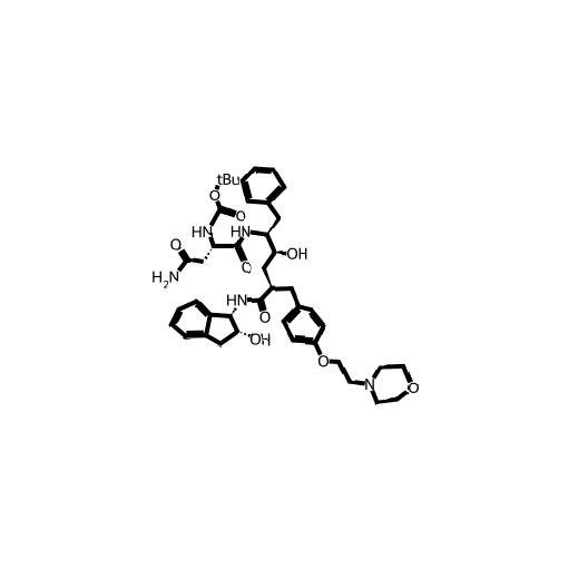 CC(C)(C)OC(=O)N[C@@H](CC(N)=O)C(=O)N[C@@H](Cc1ccccc1)[C@@H](O)C[C@@H](Cc1ccc(OCCN2CCOCC2)cc1)C(=O)N[C@H]1c2ccccc2C[C@H]1O